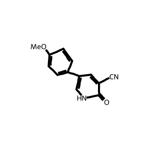 COc1ccc(-c2c[nH]c(=O)c(C#N)c2)cc1